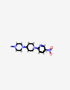 CN1CCN(C2CCN(c3ccc([N+](=O)[O-])cn3)CC2)CC1